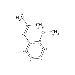 COc1ccccc1/C=C(\C)N